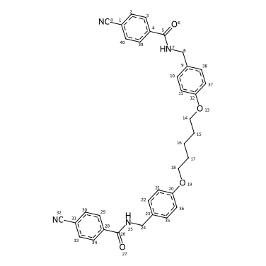 N#Cc1ccc(C(=O)NCc2ccc(OCCCCCOc3ccc(CNC(=O)c4ccc(C#N)cc4)cc3)cc2)cc1